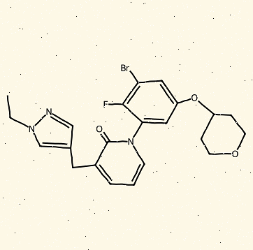 CCn1cc(Cc2cccn(-c3cc(OC4CCOCC4)cc(Br)c3F)c2=O)cn1